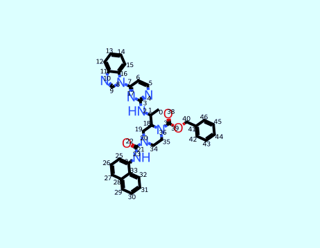 CC(Nc1nccc(-n2cnc3ccccc32)n1)C1CN(C(=O)Nc2cccc3ccccc23)CCN1C(=O)OCc1ccccc1